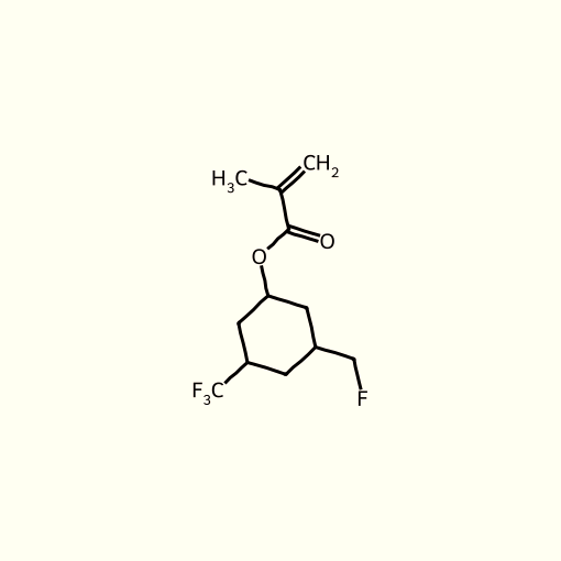 C=C(C)C(=O)OC1CC(CF)CC(C(F)(F)F)C1